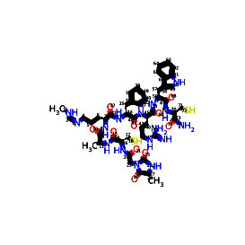 CN/C=N\CCC[C@H](NC(=O)[C@@H](C)NC(=O)[C@H](CS)NC(=O)CN1C(=O)N[C@H](C)C1=O)C(=O)N[C@H](Cc1ccccc1)C(=O)N[C@@H](CCCNC(=N)N)C(=O)N[C@@H](Cc1c[nH]c2ccccc12)C(=O)N[C@@H](CS)C(N)=O